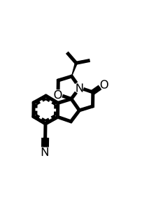 CC(C)[C@@H]1COC23c4cccc(C#N)c4CC2CC(=O)N13